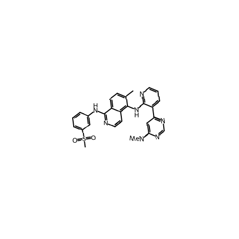 CNc1cc(-c2cccnc2Nc2c(C)ccc3c(Nc4cccc(S(C)(=O)=O)c4)nccc23)ncn1